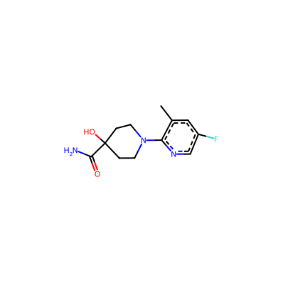 Cc1cc(F)cnc1N1CCC(O)(C(N)=O)CC1